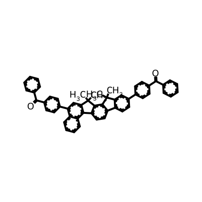 CC1(C)c2cc(-c3ccc(C(=O)c4ccccc4)cc3)ccc2-c2ccc3c(c21)C(C)(C)c1cc(-c2ccc(C(=O)c4ccccc4)cc2)c2ccccc2c1-3